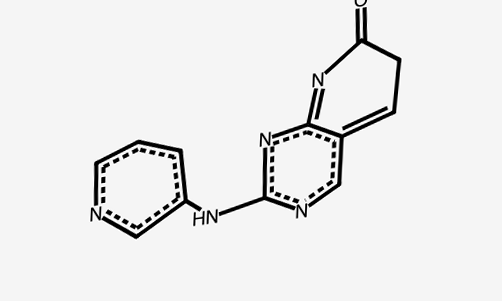 O=C1CC=c2cnc(Nc3cccnc3)nc2=N1